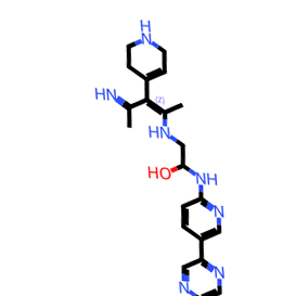 CC(=N)/C(C1=CCNCC1)=C(/C)NCC(O)Nc1ccc(-c2cnccn2)cn1